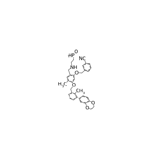 Cc1cc(CNCC[PH]=O)c(OCc2cccc(C#N)c2)cc1OCc1cccc(-c2ccc3c(c2)OCCO3)c1C